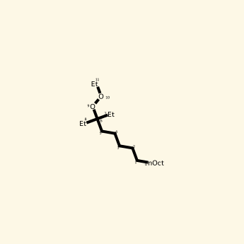 CCCCCCCCCCCCCC(CC)(CC)OOCC